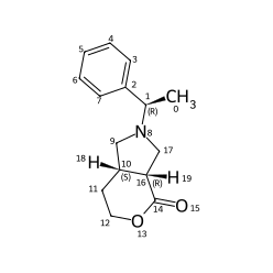 C[C@H](c1ccccc1)N1C[C@H]2CCOC(=O)[C@H]2C1